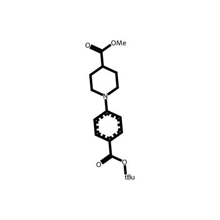 COC(=O)C1CCN(c2ccc(C(=O)OC(C)(C)C)cc2)CC1